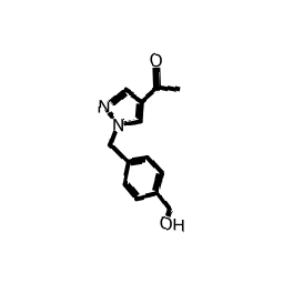 CC(=O)c1cnn(Cc2ccc(CO)cc2)c1